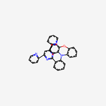 c1ccc(-c2cc(-c3ccccn3)nc(-c3ccccc3N3c4ccccc4Oc4ccccc43)n2)nc1